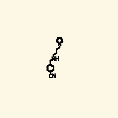 N#Cc1ccc(CNCCCCn2cccc2)cc1